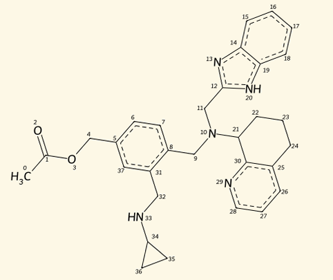 CC(=O)OCc1ccc(CN(Cc2nc3ccccc3[nH]2)C2CCCc3cccnc32)c(CNC2CC2)c1